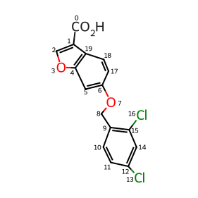 O=C(O)c1coc2cc(OCc3ccc(Cl)cc3Cl)ccc12